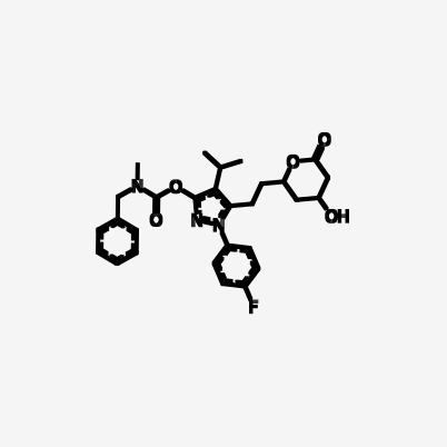 CC(C)c1c(OC(=O)N(C)Cc2ccccc2)nn(-c2ccc(F)cc2)c1CCC1CC(O)CC(=O)O1